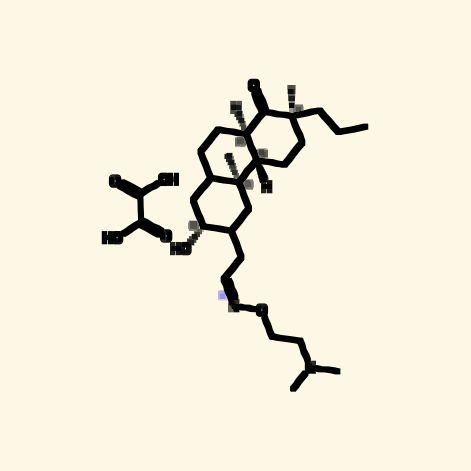 CCC[C@@]1(C)CC[C@H]2[C@@H](CCC3C[C@@H](O)C(C/C=N\OCCN(C)C)C[C@@]32C)C1=O.O=C(O)C(=O)O